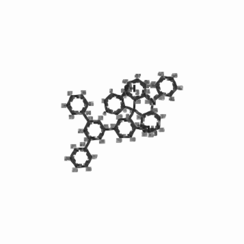 Cc1ccccc1C1(c2cc(-c3cc(-c4ccccc4)cc(-c4ccccc4)c3)ccc2C)c2ccccc2-n2c3ccccc3c3cccc1c32